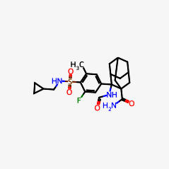 Cc1cc(C2(NC=O)C3CC4CC(C3)CC2(C(N)=O)C4)cc(F)c1S(=O)(=O)NCC1CC1